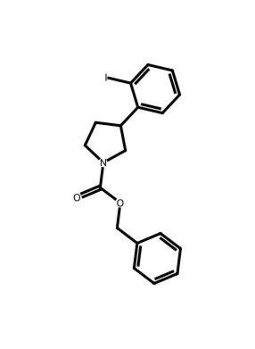 O=C(OCc1ccccc1)N1CCC(c2ccccc2I)C1